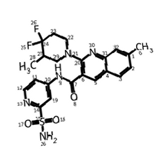 Cc1ccc2cc(C(=O)Nc3ccnc(S(N)(=O)=O)c3)c(N3CCC(F)(F)C(C)C3)nc2c1